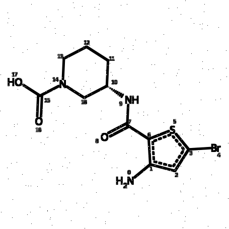 Nc1cc(Br)sc1C(=O)N[C@H]1CCCN(C(=O)O)C1